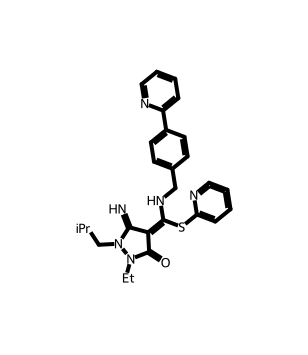 CCN1C(=O)/C(=C(/NCc2ccc(-c3ccccn3)cc2)SC2=CC=C=C=N2)C(=N)N1CC(C)C